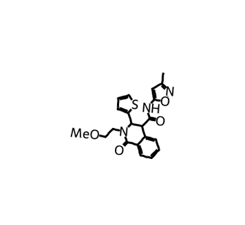 COCCN1C(=O)c2ccccc2C(C(=O)Nc2cc(C)no2)C1c1cccs1